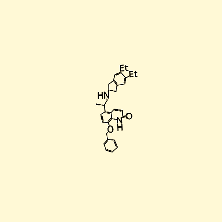 CCc1cc2c(cc1CC)CC(NC[C@H](C)c1ccc(OCc3ccccc3)c3[nH]c(=O)ccc13)C2